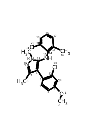 COc1ccc(-c2c(C)nn(C)c2Nc2c(C)cccc2Cl)c(Cl)c1